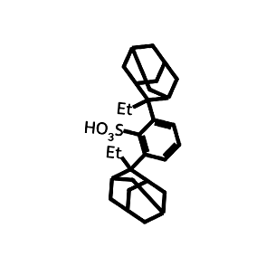 CCC1(c2cccc(C3(CC)C4CC5CC(C4)CC3C5)c2S(=O)(=O)O)C2CC3CC(C2)CC1C3